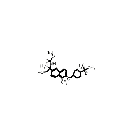 CCC(C)(C)C1CCC(Oc2ccc3cc([C@](C)(CO)NC(=O)OC(C)(C)C)ccc3c2C(F)(F)F)CC1